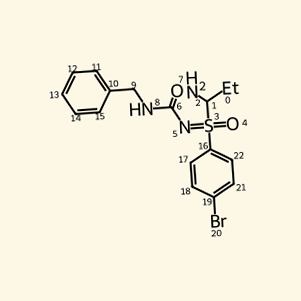 CCC(N)S(=O)(=NC(=O)NCc1ccccc1)c1ccc(Br)cc1